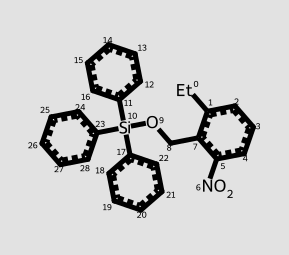 CCc1cccc([N+](=O)[O-])c1CO[Si](c1ccccc1)(c1ccccc1)c1ccccc1